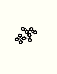 c1ccc([Si](c2ccccc2)(c2ccccc2)c2ccc(-n3c4ccccc4c4cc(-n5c6ccccc6c6cccc(-c7cccc8c7oc7ccccc78)c65)ccc43)cc2)cc1